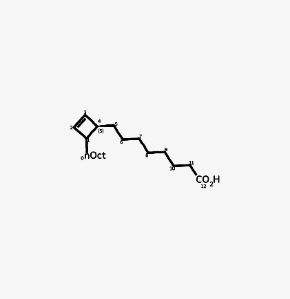 CCCCCCCCC1C=C[C@H]1CCCCCCCC(=O)O